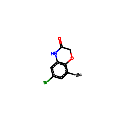 CC(C)(C)c1cc(Br)cc2c1OCC(=O)N2